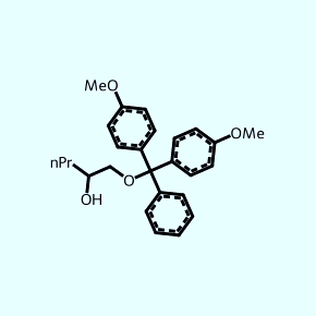 CCCC(O)COC(c1ccccc1)(c1ccc(OC)cc1)c1ccc(OC)cc1